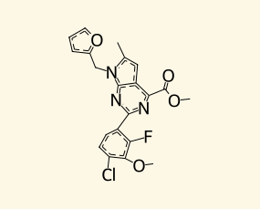 COC(=O)c1nc(-c2ccc(Cl)c(OC)c2F)nc2c1cc(C)n2Cc1ccco1